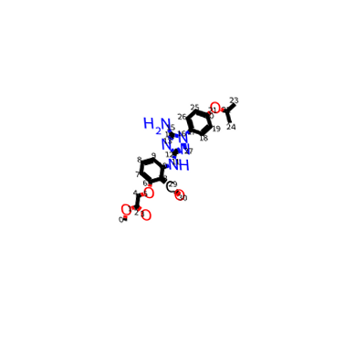 COC(=O)COC1=CC=CC(Nc2nc(N)n(-c3ccc(OC(C)C)cc3)n2)C1=C=O